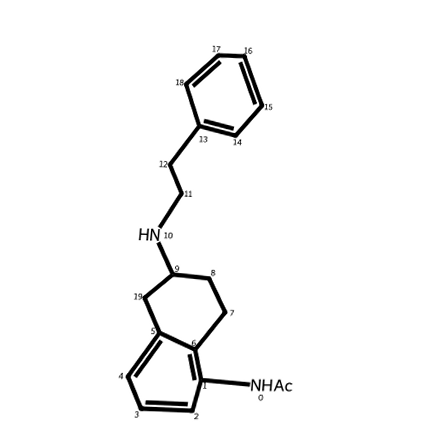 CC(=O)Nc1cccc2c1CCC(NCCc1ccccc1)C2